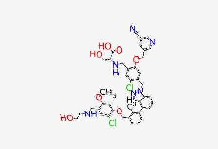 COc1cc(OCc2cccc(-c3cccc4c3cnn4Cc3cc(OCc4cncc(C#N)c4)c(CNC(CO)C(=O)O)cc3Cl)c2C)c(Cl)cc1CNCCO